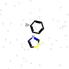 [Zn].c1ccccc1.c1cscn1